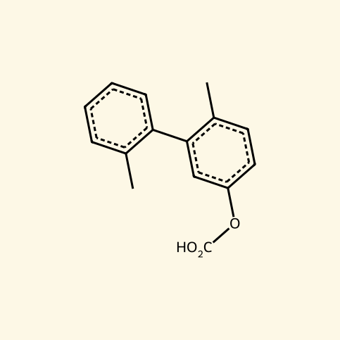 Cc1ccccc1-c1cc(OC(=O)O)ccc1C